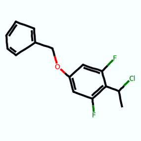 CC(Cl)c1c(F)cc(OCc2ccccc2)cc1F